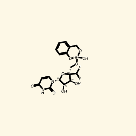 O=c1ccn([C@@H]2O[C@@](CO[PH]3(O)OCc4ccccc4O3)(C(F)F)[C@@H](O)[C@H]2O)c(=O)[nH]1